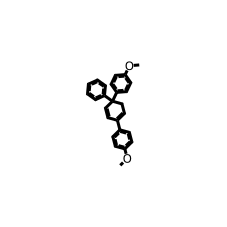 COc1ccc(C2=CCC(c3ccccc3)(c3ccc(OC)cc3)C=C2)cc1